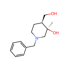 C[C@]1(O)CN(Cc2ccccc2)CC[C@H]1CO